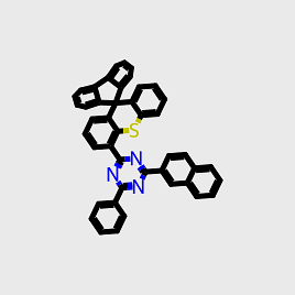 c1ccc(-c2nc(-c3ccc4ccccc4c3)nc(-c3cccc4c3Sc3ccccc3C43c4ccccc4-c4ccccc43)n2)cc1